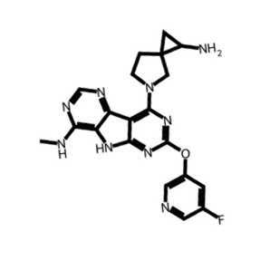 CNc1ncnc2c1[nH]c1nc(Oc3cncc(F)c3)nc(N3CCC4(CC4N)C3)c12